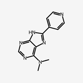 CN(C)c1ncnc2[nH]c(-c3ccncc3)nc12